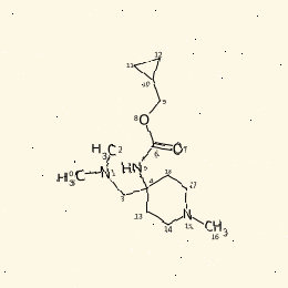 CN(C)CC1(NC(=O)OCC2CC2)CCN(C)CC1